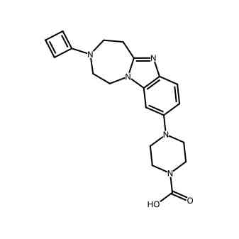 O=C(O)N1CCN(c2ccc3nc4n(c3c2)CCN(C2=CC=C2)CC4)CC1